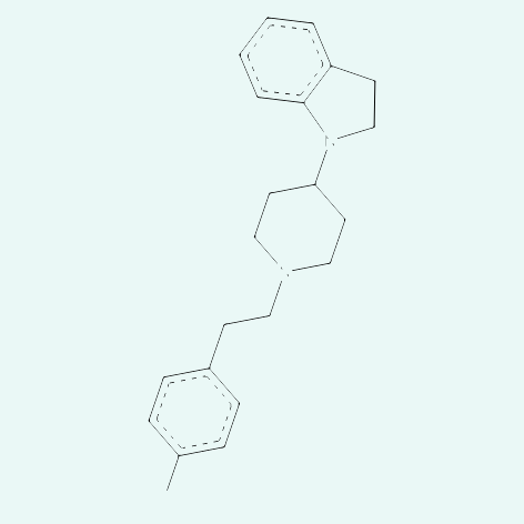 Fc1ccc(CCN2CCC(N3CCc4ccccc43)CC2)cc1